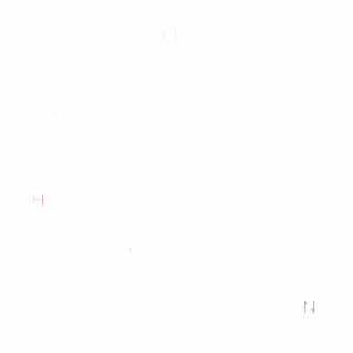 Cc1cc(C#N)cc(C(=O)c2cc(Cl)ccc2O)c1